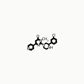 Cn1c(N2CCNC(c3cccc(Cl)c3)C2)nc(-c2ccncc2)cc1=O